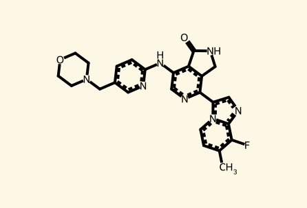 Cc1ccn2c(-c3ncc(Nc4ccc(CN5CCOCC5)cn4)c4c3CNC4=O)cnc2c1F